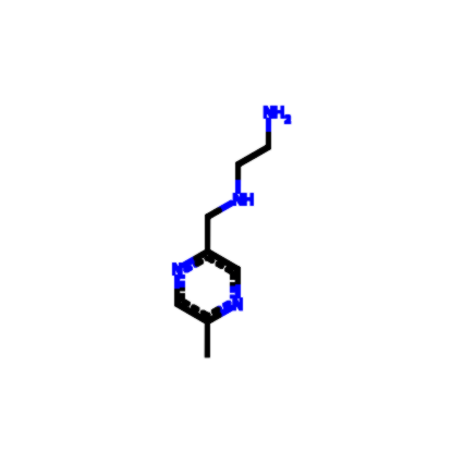 Cc1cnc(CNCCN)cn1